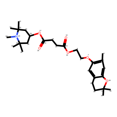 Cc1cc2c(cc1OCCOC(=O)CCC(=O)OC1CC(C)(C)N(C)C(C)(C)C1)CCC(C)(C)O2